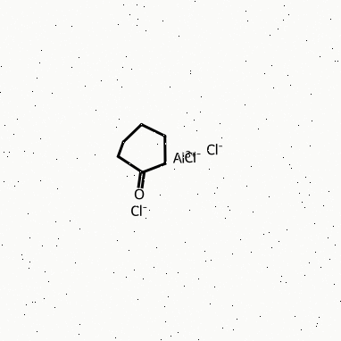 O=C1CCCCC1.[Al+3].[Cl-].[Cl-].[Cl-]